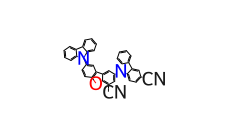 N#Cc1ccc2c(c1)c1ccccc1n2-c1cc(C#N)c2oc3ccc(-n4c5ccccc5c5ccccc54)cc3c2c1